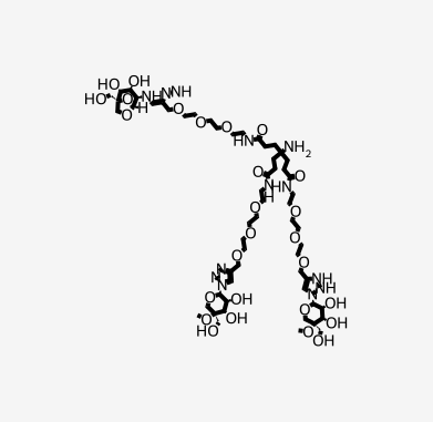 CO[C@@]1(CO)CO[C@H](N2C=C(COCCOCCOCCNC(=O)CCC(N)(CCC(=O)NCCOCCOCCOC/C(=C/N[C@H]3[C@@H]4OC[C@](CO)(O4)[C@H](O)[C@@H]3O)N=N)CCC(=O)NCCOCCOCCOCc3cn([C@H]4OC[C@](CO)(OC)[C@H](O)[C@@H]4O)nn3)NN2)[C@@H](O)[C@H]1O